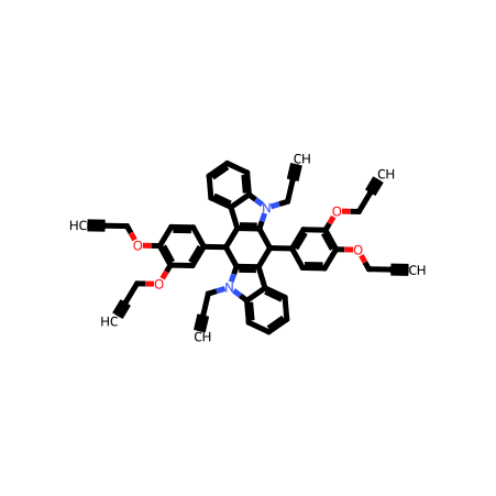 C#CCOc1ccc(C2c3c(n(CC#C)c4ccccc34)C(c3ccc(OCC#C)c(OCC#C)c3)c3c2n(CC#C)c2ccccc32)cc1OCC#C